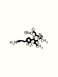 Cc1sc2c(c1C)C(c1ccc(CCC#CN)cc1)=NC(CC(=O)OC(C)(C)C)c1nnc(C)n1-2